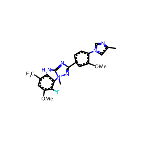 COc1cc(C2=N[N+](C)(c3cc(C(F)(F)F)cc(OC)c3F)C(N)=N2)ccc1-n1cnc(C)c1